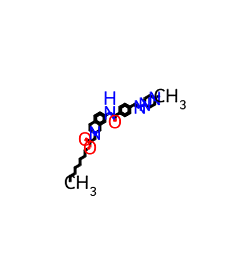 CCCCCCCCOC(=O)CN1CCc2ccc(NC(=O)c3ccc(C=NN4CCN(C)CC4)cc3)cc2C1